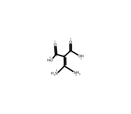 O=C(O)C(C(=O)O)=C([SiH3])[SiH3]